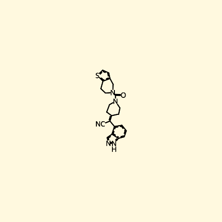 N#CC(=C1CCN(C(=O)N2CCc3sccc3C2)CC1)c1cccc2[nH]ncc12